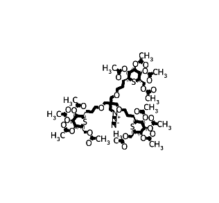 CC(=O)OC[C@H]1S[C@@H](CCCOCC(CN=[N+]=[N-])(COCCC[C@@H]2S[C@H](COC(C)=O)[C@@H](OC(C)=O)[C@H](OC(C)=O)[C@H]2OC(C)=O)COCCC[C@@H]2S[C@H](COC(C)=O)[C@@H](OC(C)=O)[C@H](OC(C)=O)[C@H]2OC(C)=O)[C@H](OC(C)=O)[C@@H](OC(C)=O)[C@@H]1OC(C)=O